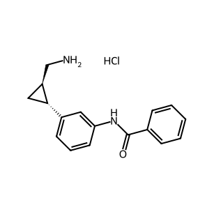 Cl.NC[C@@H]1C[C@H]1c1cccc(NC(=O)c2ccccc2)c1